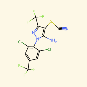 N#CSc1c(C(F)(F)F)nn(-c2c(Cl)cc(C(F)(F)F)cc2Cl)c1N